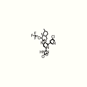 CCC(OCC(F)(F)F)c1nc2cc(-c3noc(=O)[nH]3)nc(-c3cncc(Cl)c3)c2n1CC1CCC(C)CC1